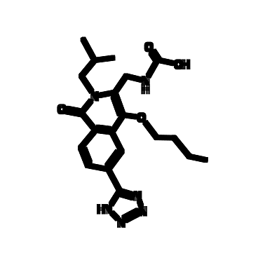 CCCCOc1c(CNC(=O)O)n(CC(C)C)c(=O)c2ccc(-c3nnn[nH]3)cc12